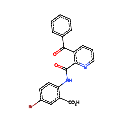 O=C(O)c1cc(Br)ccc1NC(=O)c1ncccc1C(=O)c1ccccc1